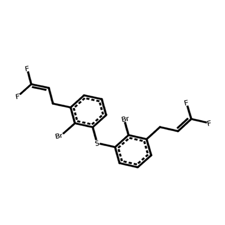 FC(F)=CCc1cccc(Sc2cccc(CC=C(F)F)c2Br)c1Br